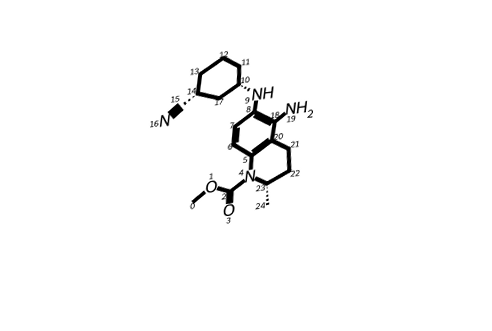 COC(=O)N1c2ccc(N[C@H]3CCC[C@@H](C#N)C3)c(N)c2CC[C@@H]1C